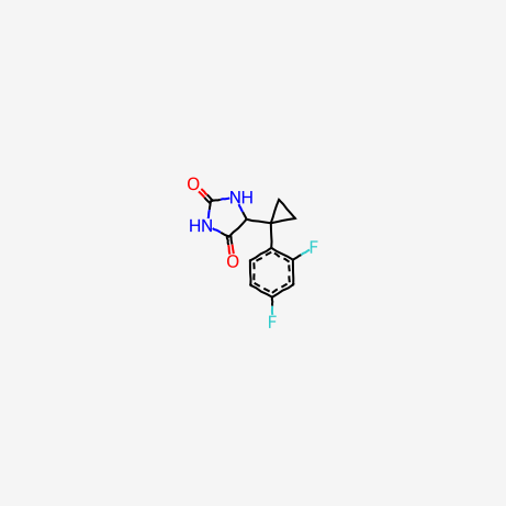 O=C1NC(=O)C(C2(c3ccc(F)cc3F)CC2)N1